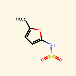 O=C(O)c1ccc(N[SH](=O)=O)o1